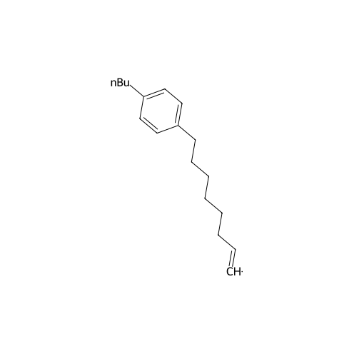 [CH]=CCCCCCCc1ccc(CCCC)cc1